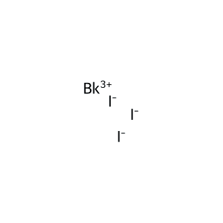 [Bk+3].[I-].[I-].[I-]